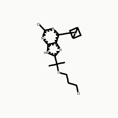 CC(C)(OCCCCl)c1nc2c(N3CC4CC3C4)nc(Cl)nc2[nH]1